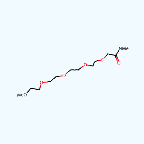 CNC(=O)COCCOCCOCCOCCOC